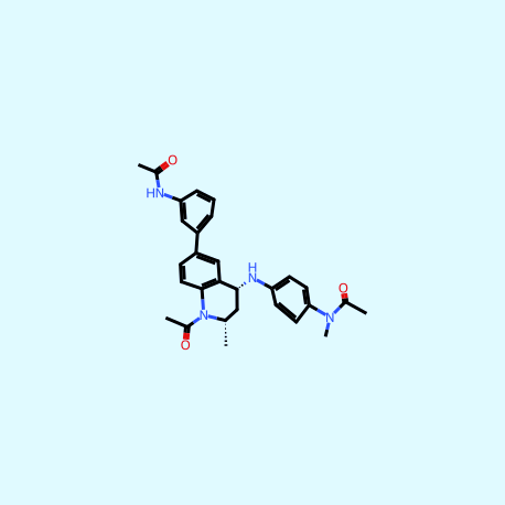 CC(=O)Nc1cccc(-c2ccc3c(c2)[C@H](Nc2ccc(N(C)C(C)=O)cc2)C[C@H](C)N3C(C)=O)c1